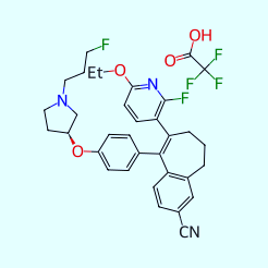 CCOc1ccc(C2=C(c3ccc(O[C@H]4CCN(CCCF)C4)cc3)c3ccc(C#N)cc3CCC2)c(F)n1.O=C(O)C(F)(F)F